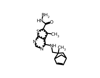 BNC(=O)c1sc2ncnc(NCC3(C)CC4C=CC3C4)c2c1C